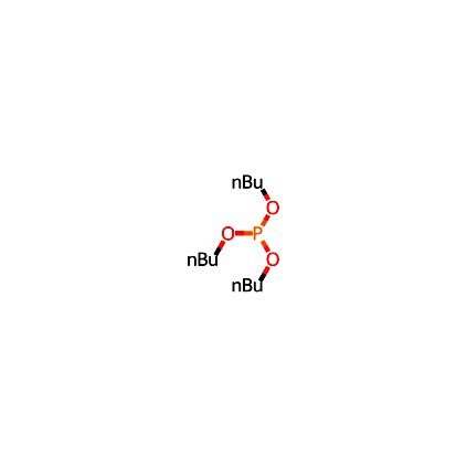 CCCCOP(OCCCC)OCCCC